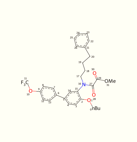 CCCCOc1ccc(-c2ccc(OC(F)(F)F)cc2)cc1N(CCCCc1ccccc1)C(=O)C(=O)OC